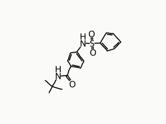 CC(C)(C)NC(=O)c1ccc(NS(=O)(=O)c2ccccc2)cc1